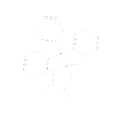 C=CCC(O)(C(O)CO)C(c1ccccc1)(c1ccccc1)c1ccccc1